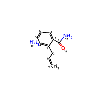 C=CCc1ccccc1C(N)=O.N